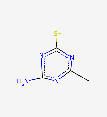 Cc1nc(N)nc(S)n1